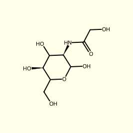 O=C(CO)N[C@H]1C(O)OC(CO)[C@@H](O)C1O